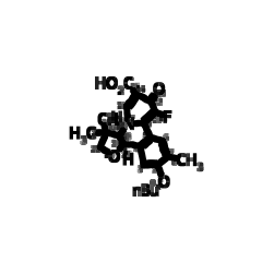 CCCCOc1cc2c(cc1C)-c1c(F)c(=O)c(C(=O)O)cn1[C@H]1[C@@H]2OCC1(C)C